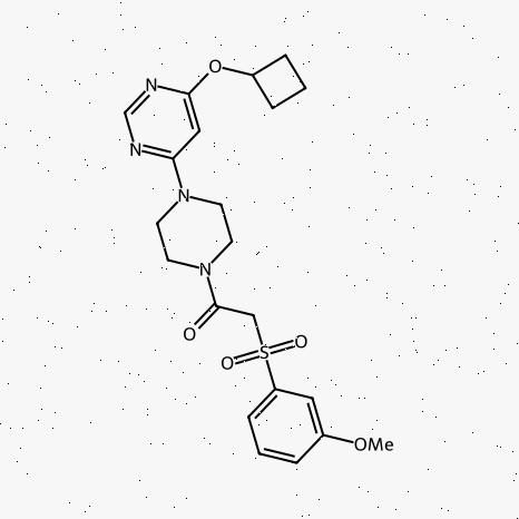 COc1cccc(S(=O)(=O)CC(=O)N2CCN(c3cc(OC4CCC4)ncn3)CC2)c1